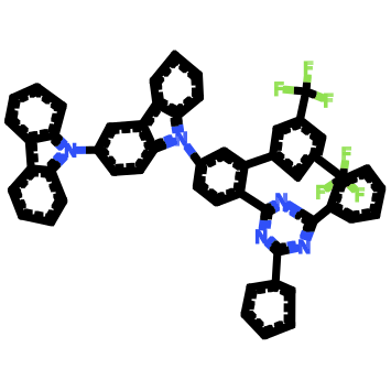 FC(F)(F)c1cc(-c2cc(-n3c4ccccc4c4cc(-n5c6ccccc6c6ccccc65)ccc43)ccc2-c2nc(-c3ccccc3)nc(-c3ccccc3)n2)cc(C(F)(F)F)c1